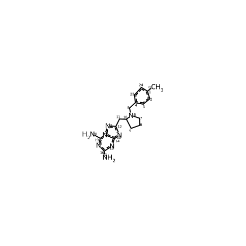 Cc1ccc(CN2CCCC2Cc2nc3nc(N)nc(N)n3n2)cc1